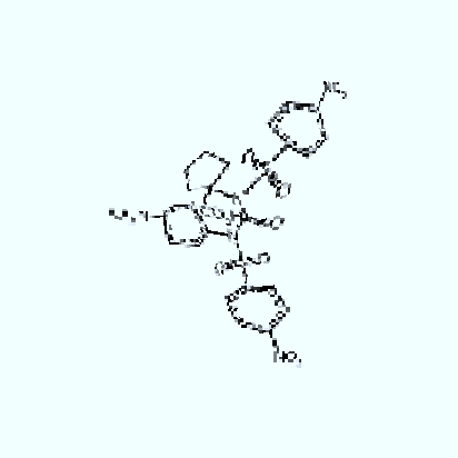 O=C(N(c1ccc([N+](=O)[O-])cc1)S(=O)(=O)c1ccc([N+](=O)[O-])cc1)N(C1(C(=O)O)CCCC1)S(=O)(=O)c1ccc([N+](=O)[O-])cc1